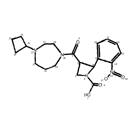 O=C(C1CN(C(=O)O)C1c1ccccc1[N+](=O)[O-])N1CCCN(C2CCC2)CC1